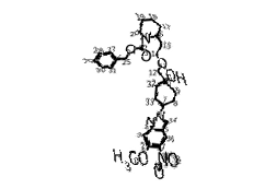 COc1cc2nn(C3CCC(O)(COCCC4CCCCN4C(=O)OCc4ccccc4)CC3)cc2cc1[N+](=O)[O-]